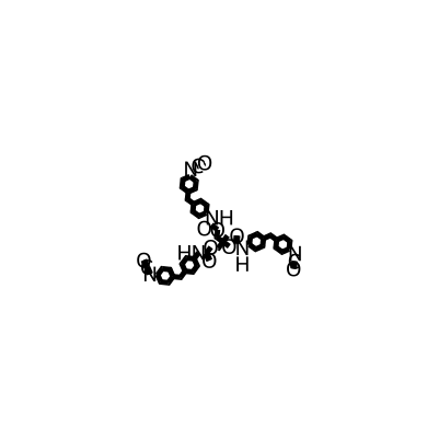 CC(COC(=O)NC1CCC(CC2CCC(N=C=O)CC2)CC1)(COC(=O)NC1CCC(CC2CCC(N=C=O)CC2)CC1)OC(=O)NC1CCC(CC2CCC(N=C=O)CC2)CC1